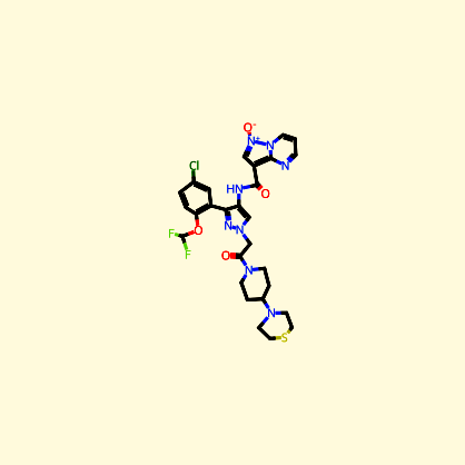 O=C(Nc1cn(CC(=O)N2CCC(N3CCSCC3)CC2)nc1-c1cc(Cl)ccc1OC(F)F)c1c[n+]([O-])n2cccnc12